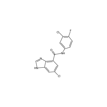 O=C(Nc1ccc(F)c(Cl)c1)c1cc(Cl)cc2[nH]cnc12